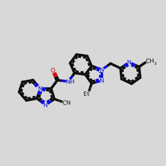 CCc1nn(Cc2cccc(C)n2)c2cccc(NC(=O)c3c(C#N)nc4ccccn34)c12